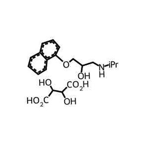 CC(C)NCC(O)COc1cccc2ccccc12.O=C(O)C(O)C(O)C(=O)O